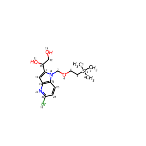 C[Si](C)(C)CCOCn1c(C(O)CO)cc2nc(Br)ccc21